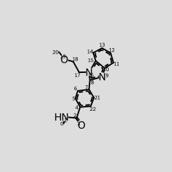 CNC(=O)c1ccc(-c2nc3ccccc3n2CCOC)cc1